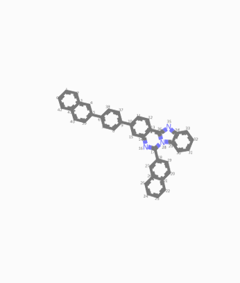 c1ccc2cc(-c3ccc(-c4ccc5c(c4)nc(-c4ccc6ccccc6c4)n4c6ccccc6nc54)cc3)ccc2c1